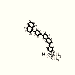 C[Si](C)(C)c1ccc(-c2ccc3ccc(-c4ccc(-c5cccc6ccccc56)cc4)cc3c2)cc1